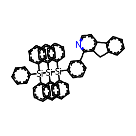 c1ccc([Si](c2ccccc2)(c2ccccc2)[Si](c2ccccc2)(c2ccccc2)[Si](c2ccccc2)(c2ccccc2)c2cccc(-c3nccc4c3Cc3ccccc3-4)c2)cc1